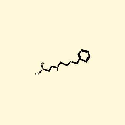 CCCN(CCC)CCNCCSCc1ccccc1